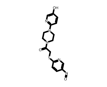 O=Nc1ccc(SCC(=O)N2CCN(c3ccc(O)cn3)CC2)nc1